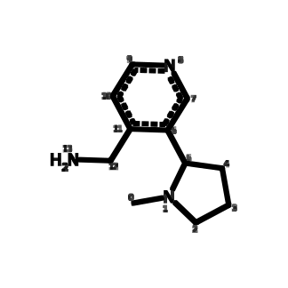 CN1CCCC1c1cnccc1CN